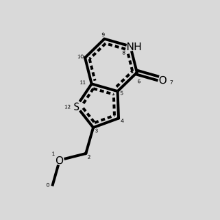 COCc1cc2c(=O)[nH]ccc2s1